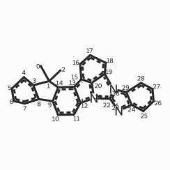 CC1(C)c2ccccc2-c2ccc3c(c21)c1cccc2c1n3c1nc3ccccc3n21